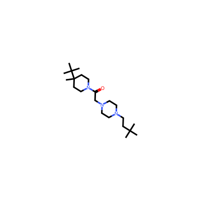 CC(C)(C)CCN1CCN(CC(=O)N2CCC(C)(C(C)(C)C)CC2)CC1